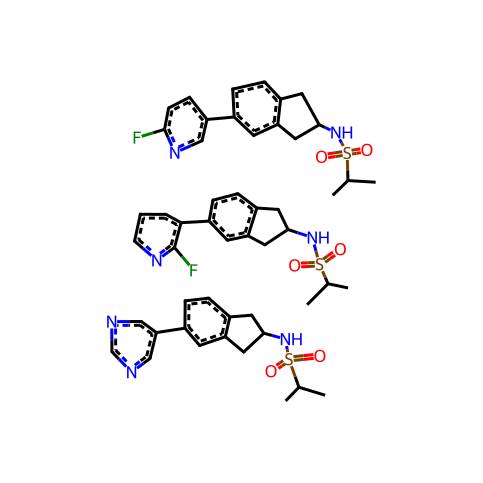 CC(C)S(=O)(=O)NC1Cc2ccc(-c3ccc(F)nc3)cc2C1.CC(C)S(=O)(=O)NC1Cc2ccc(-c3cccnc3F)cc2C1.CC(C)S(=O)(=O)NC1Cc2ccc(-c3cncnc3)cc2C1